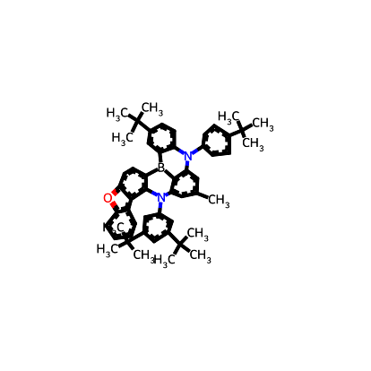 Cc1cc2c3c(c1)N(c1cc(C(C)(C)C)cc(C(C)(C)C)c1)c1c(ccc4oc5ccccc5c14)B3c1cc(C(C)(C)C)ccc1N2c1ccc(C(C)(C)C)cc1